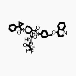 O=C(Nc1ccc(COc2ccnc3ccccc23)cc1)C1CCN(C(=O)C2(c3ccccc3)CC2)C[C@@H]1C(=O)NOC(=O)C(F)(F)F